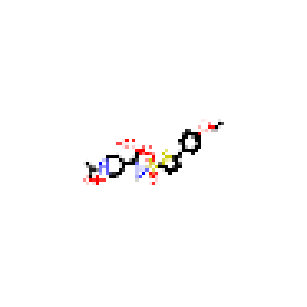 CCOc1ccc(-c2ccc(S(=O)(=O)N(C)[C@@H](C(=O)O)C3CCN(B(C)O)CC3)s2)cc1